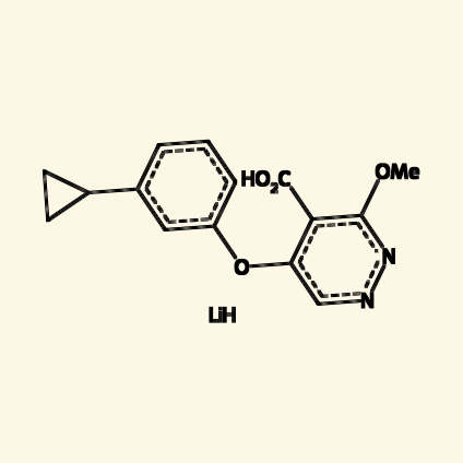 COc1nncc(Oc2cccc(C3CC3)c2)c1C(=O)O.[LiH]